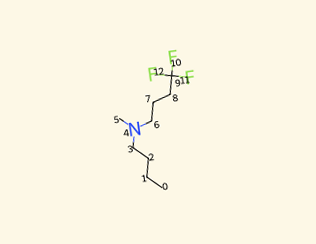 CCCCN(C)CCCC(F)(F)F